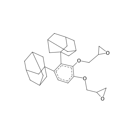 c1cc(C23CC4CC(CC(C4)C2)C3)c(C23CC4CC(CC(C4)C2)C3)c(OCC2CO2)c1OCC1CO1